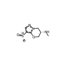 CN[C@@H]1COc2c([SH](=O)=O)cnn2C1